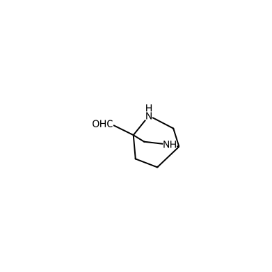 O=CC12CCC(CN1)NC2